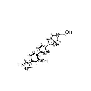 OCCN1CC2CN(c3ccc(-c4ccc(-c5cn[nH]c5)cc4O)nn3)C[C@H]2C1